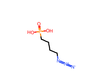 [N-]=[N+]=NCCCCP(=O)(O)O